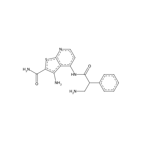 NCC(C(=O)Nc1ccnc2sc(C(N)=O)c(N)c12)c1ccccc1